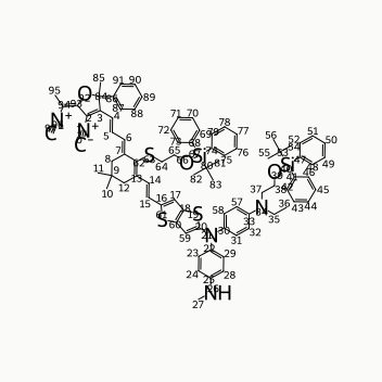 [C-]#[N+]C1=C(/C=C/C=C2\CC(C)(C)CC(/C=C/c3cc4sc(N(c5ccc(NC)cc5)c5ccc(N(CC)CCO[Si](c6ccccc6)(c6ccccc6)C(C)(C)C)cc5)cc4s3)=C2SCCO[Si](c2ccccc2)(c2ccccc2)C(C)(C)C)C(C)(c2ccccc2)O/C1=C(\C)[N+]#[C-]